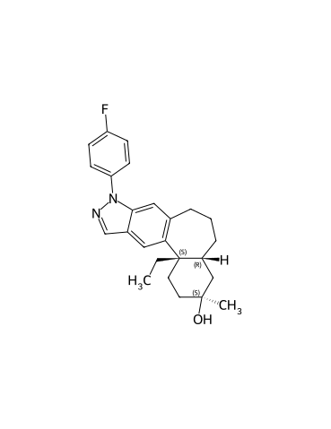 CC[C@]12CC[C@](C)(O)C[C@H]1CCCc1cc3c(cnn3-c3ccc(F)cc3)cc12